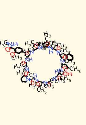 CC[C@H]1C(=O)N[C@@H](CCc2ccc(C(=O)NC)c(OC)c2)C(=O)N(C)[C@@H](CC(C)C)C(=O)N(C)[C@@H](CC(C)C)C(=O)N[C@@H](C(C)C)C(=O)N(C)[C@@H](Cc2ccccc2)C(=O)N(C)[C@@H](CC(C)C)C(=O)N[C@@H]([C@@H](C)O)C(=O)N(C)CC(=O)N(C)[C@@H](CC(C)C)C(=O)N[C@H](C(=O)N2CCCCC2)CC(=O)N1C